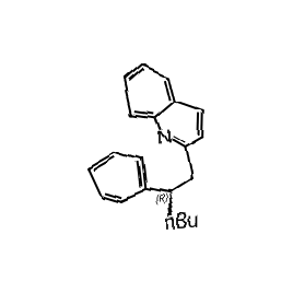 CCCC[C@H](Cc1ccc2ccccc2n1)c1ccccc1